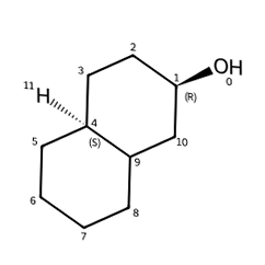 O[C@@H]1CC[C@@H]2CCCCC2C1